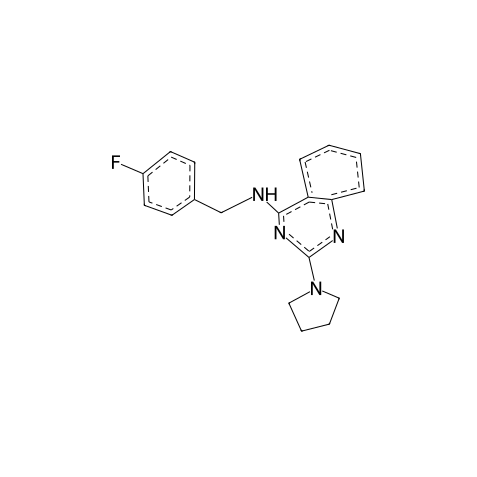 Fc1ccc(CNc2nc(N3CCCC3)nc3ccccc23)cc1